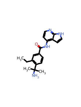 CCc1cc(C(=O)Nc2ccnc3[nH]ccc23)ccc1C(C)(C)N